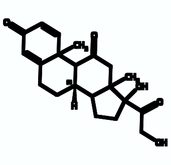 CC12C=CC(=O)C=C1CC[C@H]1C2C(=O)CC2(C)C1CCC2(O)C(=O)CO